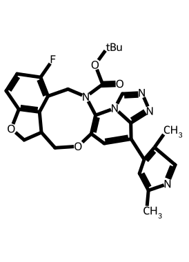 Cc1cc(-c2cc3c(n4cnnc24)N(C(=O)OC(C)(C)C)Cc2c(F)ccc4c2C(CO4)CO3)c(C)cn1